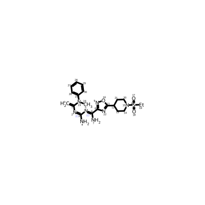 C=C(/N=C(N)\N=C(/N)c1noc(C2CCN(S(=O)(=O)CC)CC2)n1)N(C)c1ccccc1